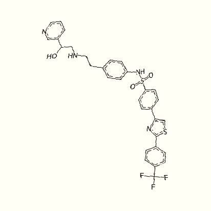 O=S(=O)(Nc1ccc(CCNCC(O)c2cccnc2)cc1)c1ccc(-c2csc(-c3ccc(C(F)(F)F)cc3)n2)cc1